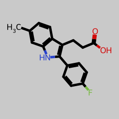 Cc1ccc2c(CCC(=O)O)c(-c3ccc(F)cc3)[nH]c2c1